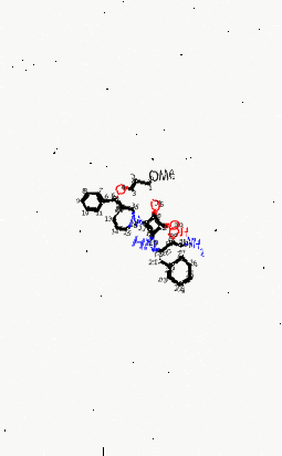 COCCCO[C@@H](c1ccccc1)[C@@H]1CCCN(c2c(N[C@@H](CC3CCCCC3)[C@H](O)CN)c(=O)c2=O)C1